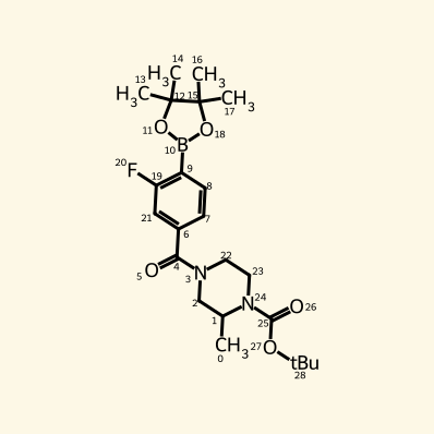 CC1CN(C(=O)c2ccc(B3OC(C)(C)C(C)(C)O3)c(F)c2)CCN1C(=O)OC(C)(C)C